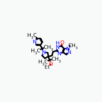 CCOC(C)(C)C1(CCc2nc3cnn(C)c3c(=O)[nH]2)CCN(C(C)(C)c2ccc(C)nc2)C1